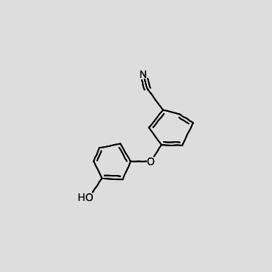 N#Cc1cccc(Oc2cccc(O)c2)c1